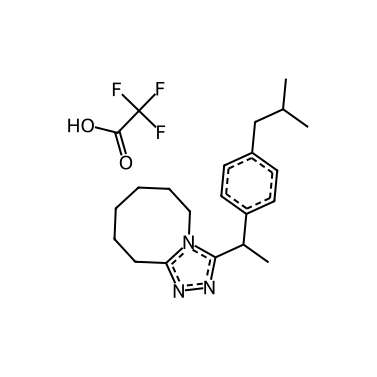 CC(C)Cc1ccc(C(C)c2nnc3n2CCCCCC3)cc1.O=C(O)C(F)(F)F